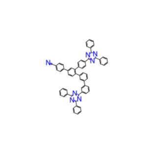 N#Cc1ccc(-c2ccc(-c3cccc(-c4cccc(-c5nc(-c6ccccc6)nc(-c6ccccc6)n5)c4)c3)c(-c3ccc(-c4nc(-c5ccccc5)nc(-c5ccccc5)n4)cc3)c2)cc1